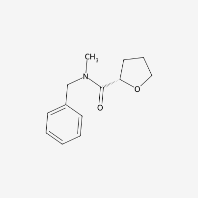 CN(Cc1ccccc1)C(=O)[C@@H]1CCCO1